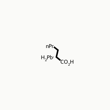 CCCCCC(=O)O.[PbH2]